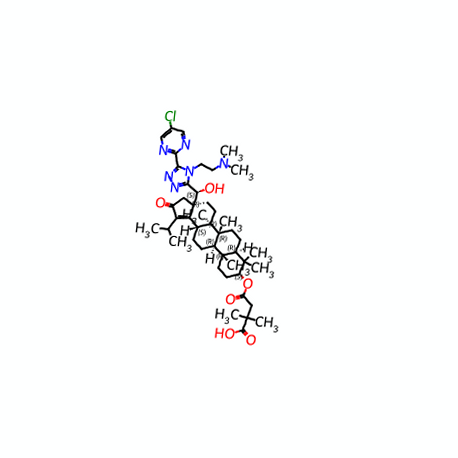 CC(C)C1=C2[C@H]3CC[C@@H]4[C@@]5(C)CC[C@H](OC(=O)CC(C)(C)C(=O)O)C(C)(C)[C@@H]5CC[C@@]4(C)[C@]3(C)CC[C@@]2([C@H](O)c2nnc(-c3ncc(Cl)cn3)n2CCN(C)C)CC1=O